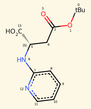 CC(C)(C)OC(=O)C[C@H](Nc1ccccn1)C(=O)O